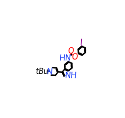 CC(C)(C)N1CC=C(c2c[nH]c3ccc(NC(=O)Oc4cccc(I)c4)cc23)CC1